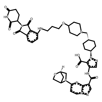 O=C1CCC(N2C(=O)c3cccc(NCCCOC4CCN(C[C@H]5CC[C@H](n6ncc(NC(=O)c7cnn8ccc(N9C[C@H]%10CC9CO%10)nc78)c6C(=O)O)CC5)CC4)c3C2=O)C(=O)N1